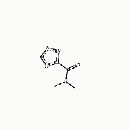 CN(C)C(=O)c1nn[c]o1